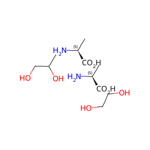 CC(O)CO.C[C@H](N)C(=O)O.C[C@H](N)C(=O)O.OCCO